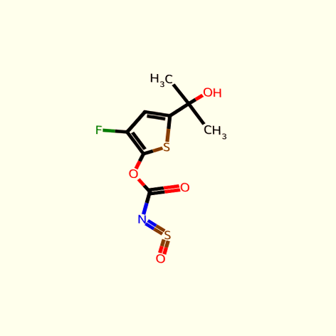 CC(C)(O)c1cc(F)c(OC(=O)N=S=O)s1